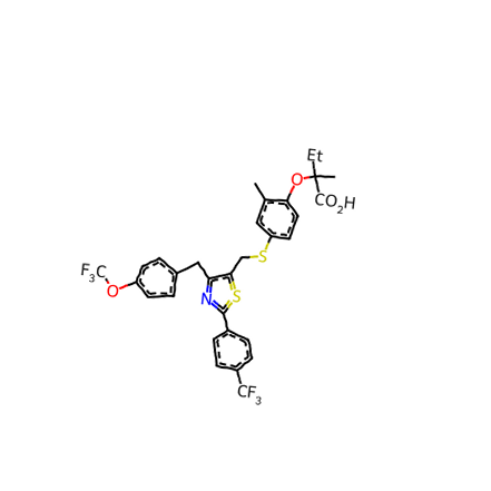 CCC(C)(Oc1ccc(SCc2sc(-c3ccc(C(F)(F)F)cc3)nc2Cc2ccc(OC(F)(F)F)cc2)cc1C)C(=O)O